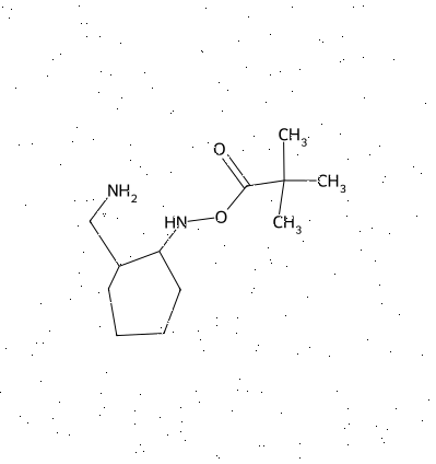 CC(C)(C)C(=O)ONC1CCCCC1CN